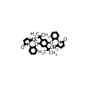 CC(C)(C)c1cc(Oc2ccccc2N2C(=O)C=CC2=O)c(C(C)(C)C)cc1Oc1ccccc1N1C(=O)C=CC1=O